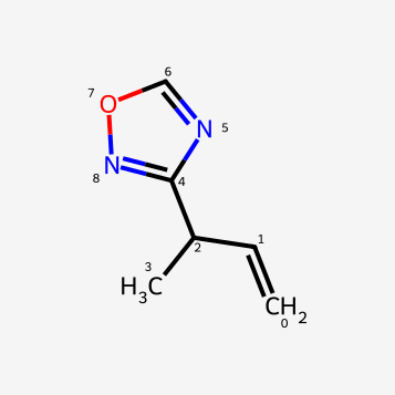 C=CC(C)c1ncon1